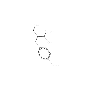 CCCCCCCCc1ccc(CC(CO)C(O)NC(C)=O)cc1